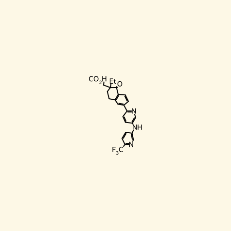 CCC1(CC(=O)O)CCc2cc(-c3ccc(Nc4ccc(C(F)(F)F)nc4)cn3)ccc2C1=O